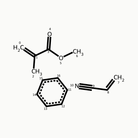 C=C(C)C(=O)OC.C=CC#N.c1ccccc1